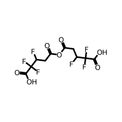 O=C(CC(F)C(F)(F)C(=O)O)OC(=O)CC(F)C(F)(F)C(=O)O